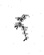 CCCC(C)C(=O)O.CCCC(C)C(=O)SCCNC(=O)CCNC(=O)C(O)C(C)(C)COP(=O)(O)OP(=O)(O)OC[C@H]1O[C@@H](n2cnc3c(N)ncnc32)[C@H](O)[C@@H]1OP(=O)(O)O